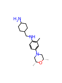 Cc1cc(N2C[C@@H](C)O[C@@H](C)C2)ccc1NCC1CCC(N)CC1